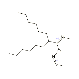 CCCCCCC(CCCCCC)/C(=N/C)O/N=N\C